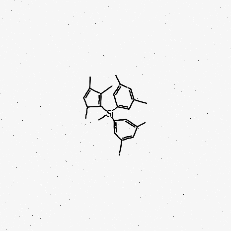 CC1=CC(C)C([Si](C)(c2cc(C)cc(C)c2)c2cc(C)cc(C)c2)=C1C